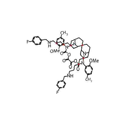 COc1ccc(C)cc1N(C(=O)OC(=O)C(=O)OC(=O)N(c1cc(C)ccc1OC)C1CC2CCCC(C1)N2CCCCCCNCc1ccc(F)cc1)C1CC2CCCC(C1)N2CCCCCCNCc1ccc(F)cc1